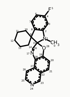 CN1c2cc(F)ccc2C2(CCCCC2)C12C=Nc1c(ccc3cnccc13)O2